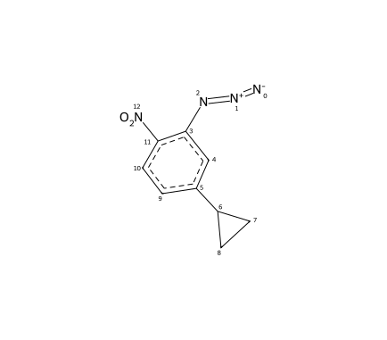 [N-]=[N+]=Nc1cc(C2CC2)ccc1[N+](=O)[O-]